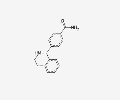 NC(=O)c1ccc(C2NCCc3ccccc32)cc1